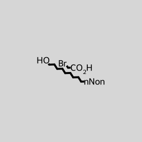 CCCCCCCCCCCCCCCCCCO.O=C(O)CBr